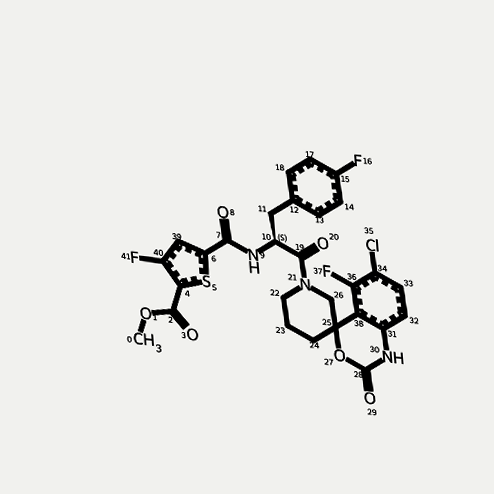 COC(=O)c1sc(C(=O)N[C@@H](Cc2ccc(F)cc2)C(=O)N2CCCC3(C2)OC(=O)Nc2ccc(Cl)c(F)c23)cc1F